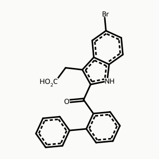 O=C(O)Cc1c(C(=O)c2ccccc2-c2ccccc2)[nH]c2ccc(Br)cc12